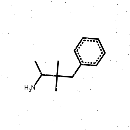 CC(N)C(C)(C)Cc1ccccc1